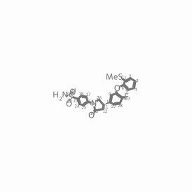 CSc1ccccc1Oc1cc([C@H]2CC(=O)N(c3ccc(S(N)(=O)=O)cc3)C2)ccc1F